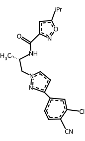 CC(C)c1cc(C(=O)N[C@@H](C)Cn2ccc(-c3ccc(C#N)c(Cl)c3)n2)no1